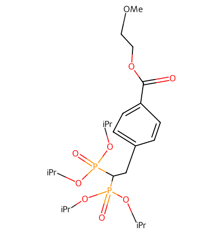 COCCOC(=O)c1ccc(CC(P(=O)(OC(C)C)OC(C)C)P(=O)(OC(C)C)OC(C)C)cc1